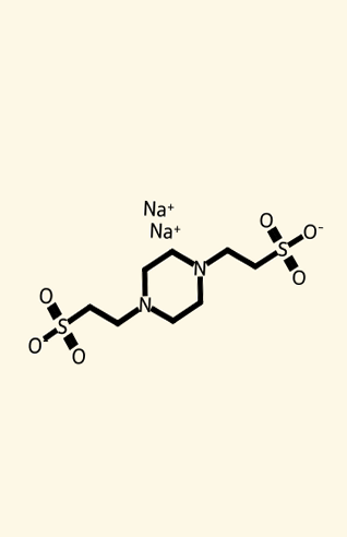 O=S(=O)([O-])CCN1CCN(CCS(=O)(=O)[O-])CC1.[Na+].[Na+]